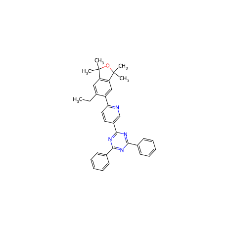 CCc1cc2c(cc1-c1ccc(-c3nc(-c4ccccc4)nc(-c4ccccc4)n3)cn1)C(C)(C)OC2(C)C